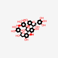 Oc1cc(O)c2c(c1)O[C@H](c1cc(O)c(O)c(O)c1)[C@H](O)[C@H]2c1c(O)cc(O)c2c1O[C@H](c1cc(O)c(O)c(O)c1)[C@H](O)[C@@H]2c1c(O)cc(O)c2c1O[C@H](c1cc(O)c(O)c(O)c1)[C@H](O)C2